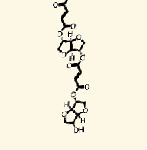 CC(=O)/C=C/C(=O)O[C@H]1CO[C@H]2[C@@H]1OC[C@@H]2OC(=O)/C=C/C(=O)O[C@H]1CO[C@H]2[C@@H]1OC[C@@H]2O